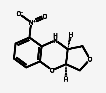 O=[N+]([O-])c1cccc2c1N[C@H]1COC[C@H]1O2